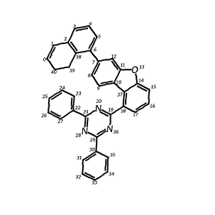 C1=Cc2cccc(-c3ccc4c(c3)oc3cccc(-c5nc(-c6ccccc6)nc(-c6ccccc6)n5)c34)c2CC1